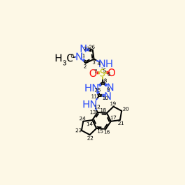 Cn1cc(NS(=O)(=O)c2nnc(Nc3c4c(cc5c3CCC5)CCC4)[nH]2)cn1